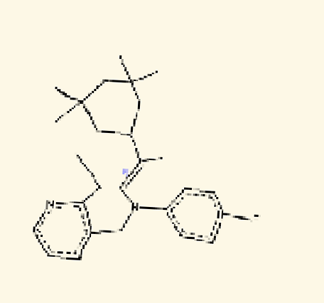 CCc1ncccc1CN(/C=C(\C)C1CC(C)(C)CC(C)(C)C1)c1ccc(F)cc1